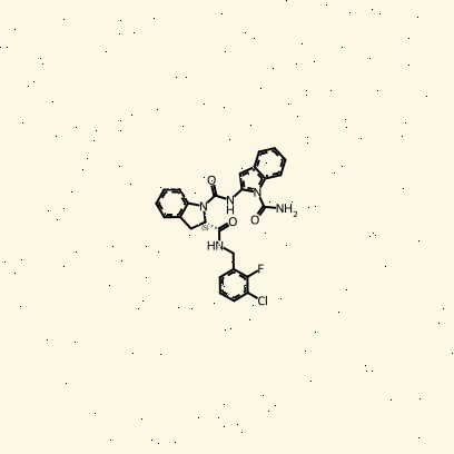 NC(=O)n1c(NC(=O)N2c3ccccc3C[C@H]2C(=O)NCc2cccc(Cl)c2F)cc2ccccc21